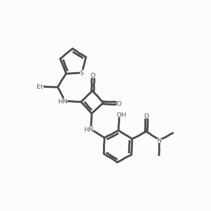 CCC(Nc1c(Nc2cccc(C(=O)N(C)C)c2O)c(=O)c1=O)c1cccs1